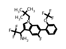 CC(C)(C)Cn1cc(C(N)C(F)(F)F)c2cc(F)c(-c3ccccc3OC(F)(F)F)cc21